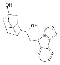 OC(CC1c2ccccc2-c2cncn21)C1C2CC3CC1CC(O)(C3)C2